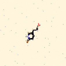 O=C=CCc1ccc(Br)nc1